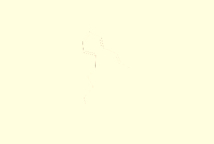 CCOC(=O)CCCOc1ccccc1/C=C/I